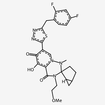 COCCN1C(=O)c2c(O)c(=O)c(-c3nnc(Cc4ccc(F)cc4F)s3)cn2N(C)C12CCC1C[C@H]12